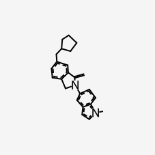 C=C1c2cc(CC3CCCC3)ccc2CN1c1ccc2c(ccn2C)c1